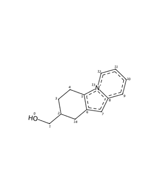 OCC1CCc2c(cc3ccccn23)C1